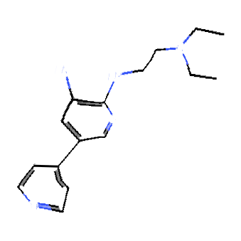 CCN(CC)CCNc1ncc(-c2ccncc2)cc1N